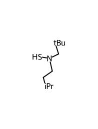 CC(C)CCN(S)CC(C)(C)C